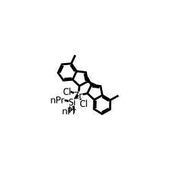 CCC[SiH](CCC)[Zr]([Cl])([Cl])([CH]1C(C)=Cc2c(C)cccc21)[CH]1C(C)=Cc2c(C)cccc21